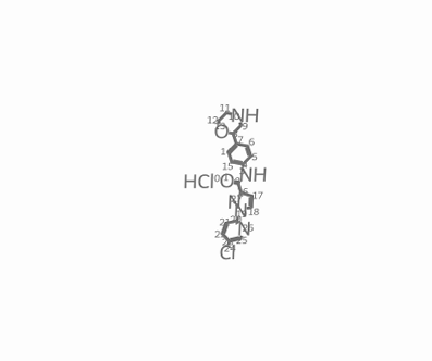 Cl.O=C(Nc1ccc(C2CNCCO2)cc1)c1ccn(-c2ccc(Cl)cn2)n1